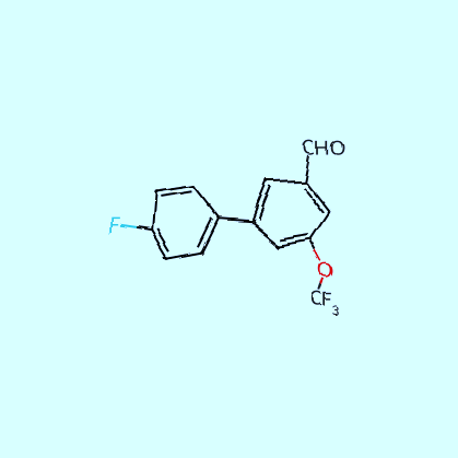 O=Cc1cc(OC(F)(F)F)cc(-c2ccc(F)cc2)c1